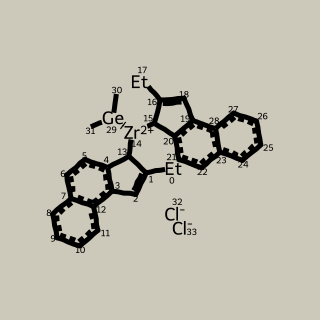 CCC1=Cc2c(ccc3ccccc23)[CH]1[Zr+2]([CH]1C(CC)=Cc2c1ccc1ccccc21)=[Ge]([CH3])[CH3].[Cl-].[Cl-]